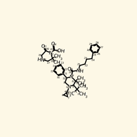 CC(C)(C)C1N(C2CC2)CC(c2ccccc2)N(C(=O)NCCCCc2ccccc2)C1(C)C.CC1(C)CNCC(=O)N1C(=O)O